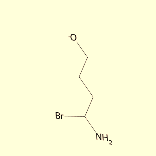 NC(Br)CCC[O]